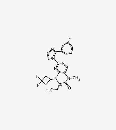 CC[C@@H]1C(=O)N(C)c2cnc(-n3ccnc3-c3cccc(F)c3)nc2N1C1CC(F)(F)C1